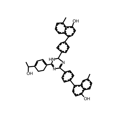 Cc1ccc2c(O)ccc(-c3ccc(C4=NC(c5ccc(-c6ccc(O)c7c(C)cccc67)cc5)NC(C5=CC=C(C(C)O)CC5)=N4)cc3)c2c1